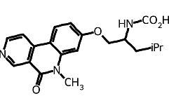 CC(C)CC(COc1ccc2c3ccncc3c(=O)n(C)c2c1)NC(=O)O